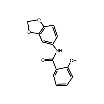 O=C(Nc1ccc2c(c1)OCO2)c1c[c]ccc1O